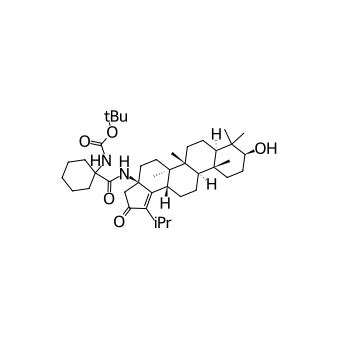 CC(C)C1=C2[C@H]3CC[C@@H]4[C@@]5(C)CC[C@H](O)C(C)(C)[C@@H]5CC[C@@]4(C)[C@]3(C)CC[C@@]2(NC(=O)C2(NC(=O)OC(C)(C)C)CCCCC2)CC1=O